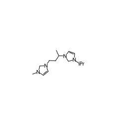 CC(C)N1C=CN(C(C)CCN2C=CN(C)C2)C1